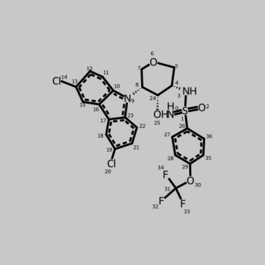 N=S(=O)(N[C@H]1COC[C@@H](n2c3ccc(Cl)cc3c3cc(Cl)ccc32)[C@H]1O)c1ccc(OC(F)(F)F)cc1